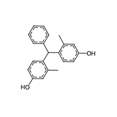 Cc1cc(O)ccc1C(c1ccccc1)c1ccc(O)cc1C